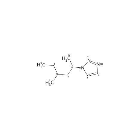 CCC(C)CC(C)n1ccnn1